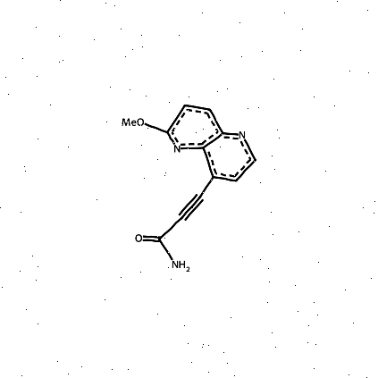 COc1ccc2nccc(C#CC(N)=O)c2n1